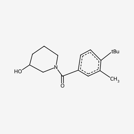 Cc1cc(C(=O)N2CCCC(O)C2)ccc1C(C)(C)C